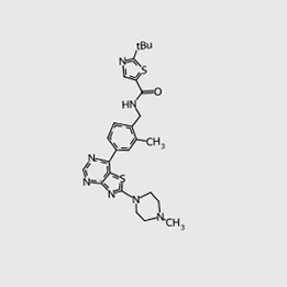 Cc1cc(-c2ncnc3nc(N4CCN(C)CC4)sc23)ccc1CNC(=O)c1cnc(C(C)(C)C)s1